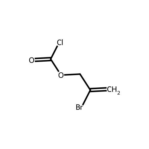 C=C(Br)COC(=O)Cl